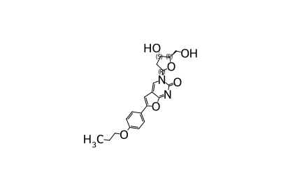 CCCOc1ccc(-c2cc3cn([C@H]4C[C@H](O)[C@@H](CO)O4)c(=O)nc3o2)cc1